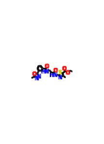 CCOC(=O)c1sc(NC(=O)CCNC(=O)c2cccc(-c3nnc(C)o3)c2)nc1C